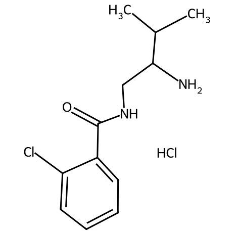 CC(C)C(N)CNC(=O)c1ccccc1Cl.Cl